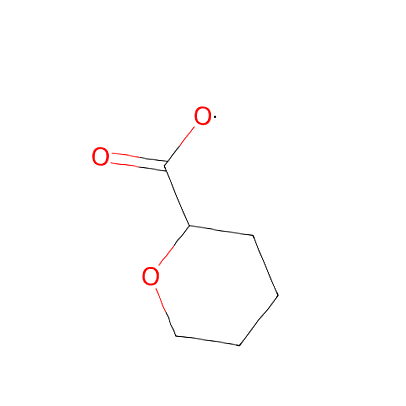 [O]C(=O)C1CCCCO1